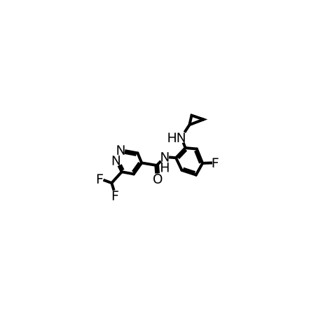 O=C(Nc1ccc(F)cc1NC1CC1)c1cnnc(C(F)F)c1